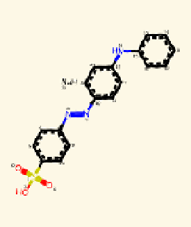 O=S(=O)(O)c1ccc(N=Nc2ccc(Nc3ccccc3)cc2)cc1.[NaH]